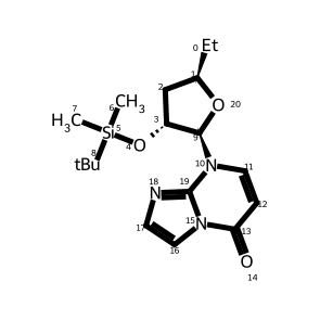 CC[C@@H]1C[C@@H](O[Si](C)(C)C(C)(C)C)[C@H](n2ccc(=O)n3ccnc23)O1